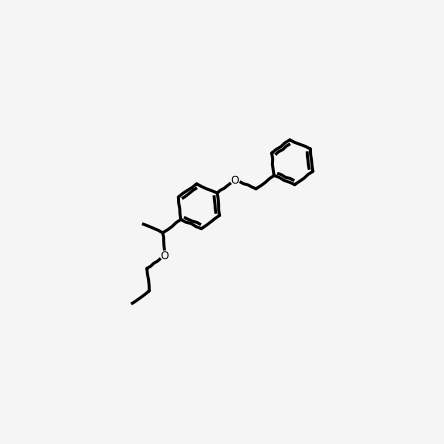 CCCOC(C)c1ccc(OCc2ccccc2)cc1